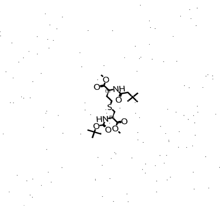 COC(=O)[C@H](CCSC[C@H](NC(=O)OC(C)(C)C)C(=O)OC)NC(=O)CC(C)(C)C